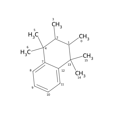 CC1C(C)C(C)(C)c2ccccc2C1(C)C